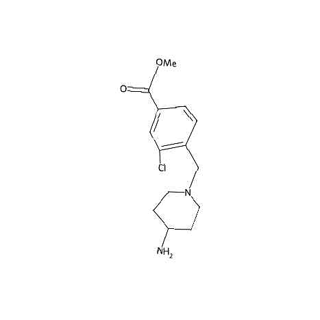 COC(=O)c1ccc(CN2CCC(N)CC2)c(Cl)c1